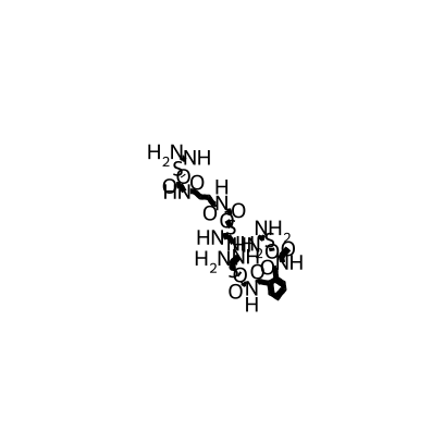 N=C(N)SOC(=O)NC(=O)CCC(=O)NC(=O)OSC(=N)N.N=C(N)SOC(=O)NC(=O)c1ccccc1C(=O)NC(=O)OSC(=N)N